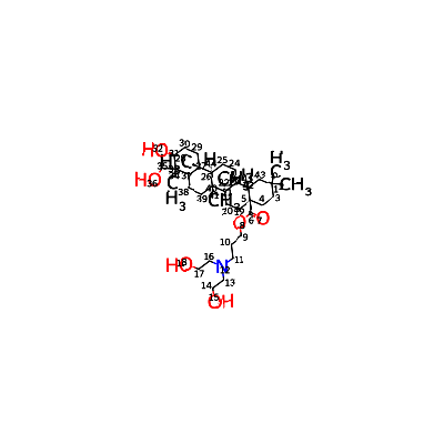 CC1(C)CC[C@]2(C(=O)OCCCN(CCO)CCO)CC[C@]3(C)C(=CC[C@@H]4[C@@]5(C)CC[C@H](O)[C@@](C)(CO)C5CC[C@]43C)[C@H]2C1